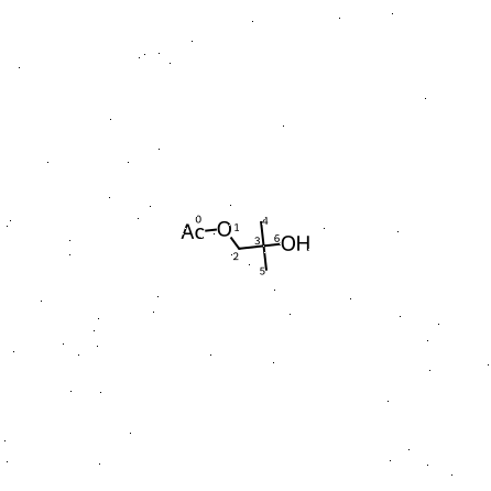 CC(=O)OCC(C)(C)O